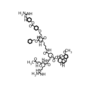 COc1ccc2c3c1O[C@H]1C(OC(=O)N4CCC(C(=O)NCCCC[C@H](NC(=O)OCc5ccccc5)C(=O)NCCOc5ccc(C(=O)Oc6ccc(NC(=N)N)cc6)cc5)CC4CNC(=O)[C@@H](CCCNC(=N)N)NC(=O)CNC(C)=O)=CC[C@H]4[C@H](CCC[C@]314)C2